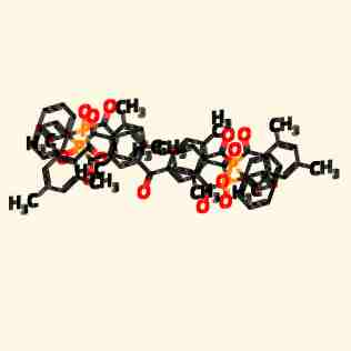 Cc1cc(C)c(C(=O)P(=O)(C(=O)c2ccc(C(=O)c3ccc(C(=O)P(=O)(C(=O)c4c(C)cc(C)cc4C)c4ccccc4)c(C(=O)P(=O)(C(=O)c4c(C)cc(C)cc4C)c4ccccc4)c3)cc2C(=O)P(=O)(C(=O)c2c(C)cc(C)cc2C)c2ccccc2)c2ccccc2)c(C)c1